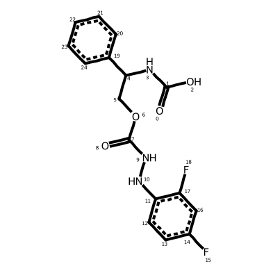 O=C(O)NC(COC(=O)NNc1ccc(F)cc1F)c1ccccc1